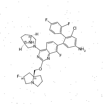 Nc1cc(Cl)c(-c2ccc(F)cc2F)c(-c2ccc3c(N4C[C@H]5CC[C@@H](C4)N5)nc(OC[C@@]45CCCN4C[C@H](F)C5)nc3c2F)c1